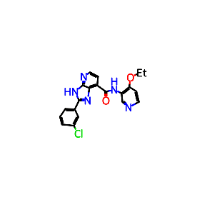 CCOc1ccncc1NC(=O)c1ccnc2[nH]c(-c3cccc(Cl)c3)nc12